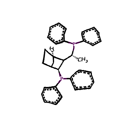 C[C@H](C1[C@@H]2CCC2[C@@H]1P(c1ccccc1)c1ccccc1)P(c1ccccc1)c1ccccc1